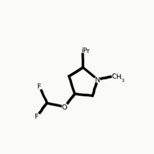 CC(C)C1CC(OC(F)F)CN1C